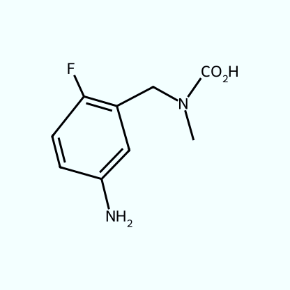 CN(Cc1cc(N)ccc1F)C(=O)O